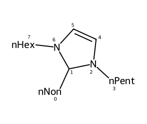 CCCCCCCCCC1N(CCCCC)C=CN1CCCCCC